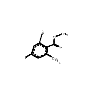 COC(=O)c1c(C)cc(I)cc1Cl